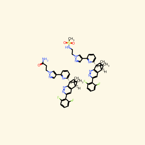 CC1(C)[C@H]2CC[C@]1(c1cccc(-c3cnn(CCC(N)=O)c3)n1)c1nnc(-c3c(F)cccc3F)cc12.CC1(C)[C@H]2CC[C@]1(c1cccc(-c3cnn(CCNS(C)(=O)=O)c3)n1)c1nnc(-c3c(F)cccc3F)cc12